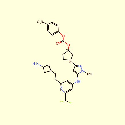 CC(C)(C)n1nc([C@H]2CC[C@@H](OC(=O)Oc3ccc([N+](=O)[O-])cc3)C2)cc1Nc1cc(CCC23CC(N)(C2)C3)nc(C(F)F)c1